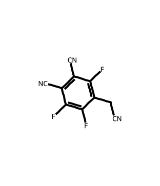 N#CCc1c(F)c(F)c(C#N)c(C#N)c1F